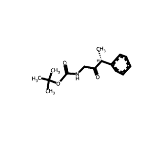 C[C@@H](C(=O)CNC(=O)OC(C)(C)C)c1ccccc1